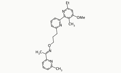 CCc1cc(OC)c(C)c(-c2cccc(CCCO/N=C(\C)c3cccc(C)n3)n2)n1